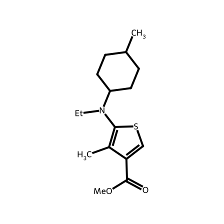 CCN(c1scc(C(=O)OC)c1C)C1CCC(C)CC1